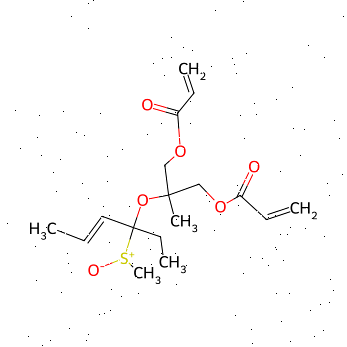 C=CC(=O)OCC(C)(COC(=O)C=C)OC(C=CC)(CC)[S+](C)[O-]